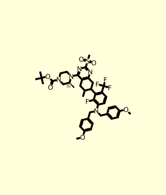 COc1ccc(CN(Cc2ccc(OC)cc2)c2ccc(C(F)(F)F)c(C3Cc4nc(S(C)(=O)=O)nc(N5CCN(C(=O)OC(C)(C)C)C[C@@H]5C)c4CC3C)c2F)cc1